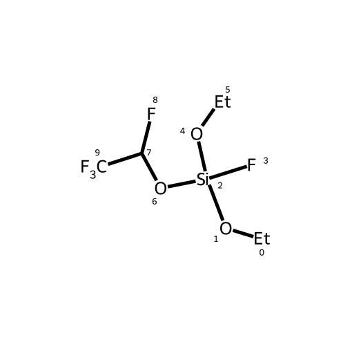 CCO[Si](F)(OCC)OC(F)C(F)(F)F